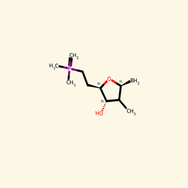 B[C@@H]1O[C@H](CCP(=C)(C)C)[C@@H](O)C1C